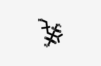 CN(C)C(CC(C)(C)CO)(S(N)(=O)=O)S(N)(=O)=O